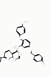 CC(C)c1ccc2c(Nc3cc(OCc4ccc(Br)cc4)ccc3Sc3ccc(O)cc3)ncnc2n1